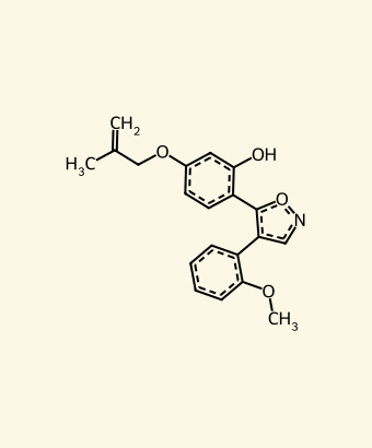 C=C(C)COc1ccc(-c2oncc2-c2ccccc2OC)c(O)c1